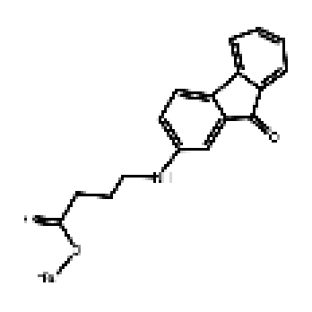 CC(C)(C)OC(=O)CCCNc1ccc2c(c1)C(=O)c1ccccc1-2